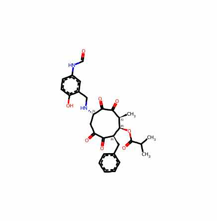 CC(C)C(=O)O[C@@H]1[C@H](C)C(=O)C(=O)[C@@H](NCc2cc(NC=O)ccc2O)CC(=O)C(=O)[C@@H]1Cc1ccccc1